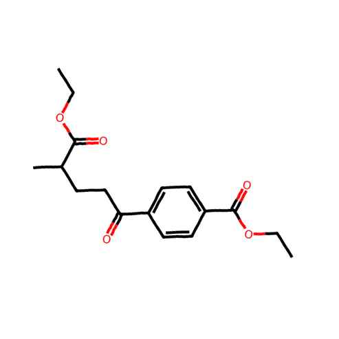 CCOC(=O)c1ccc(C(=O)CCC(C)C(=O)OCC)cc1